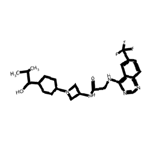 CC(C)C(O)C1CCC(N2CC(NC(=O)CNc3ncnc4ccc(C(F)(F)F)cc34)C2)CC1